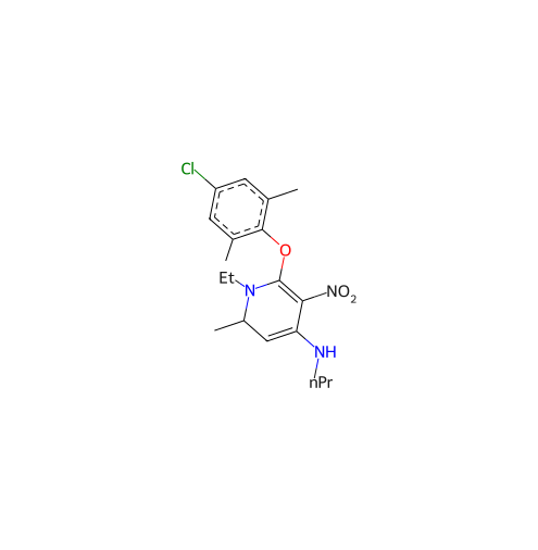 CCCNC1=CC(C)N(CC)C(Oc2c(C)cc(Cl)cc2C)=C1[N+](=O)[O-]